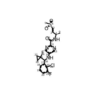 C[C@H](/C=C/S(C)(=O)=O)NC(=O)c1ncc(NC(c2cccc(F)c2Cl)C2(F)CC2)cn1